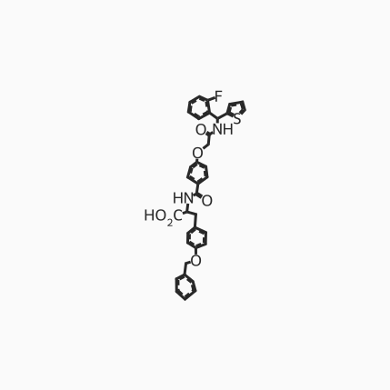 O=C(COc1ccc(C(=O)NC(Cc2ccc(OCc3ccccc3)cc2)C(=O)O)cc1)NC(c1cccs1)c1ccccc1F